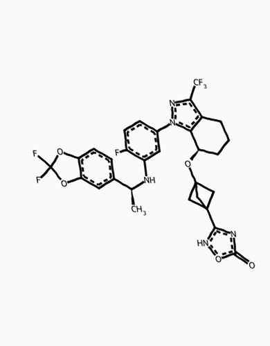 C[C@H](Nc1cc(-n2nc(C(F)(F)F)c3c2[C@H](OC24CC(c5nc(=O)o[nH]5)(C2)C4)CCC3)ccc1F)c1ccc2c(c1)OC(F)(F)O2